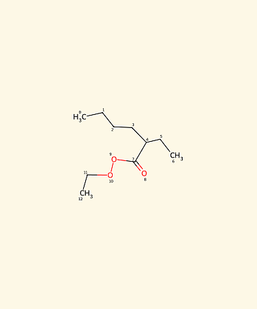 CCCCC(CC)C(=O)OOCC